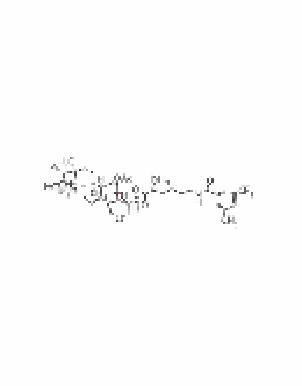 CC(=O)O[C@@H]1C[C@@]23COC[C@@](C)([C@@H]2CC[C@H]2C3=CC[C@@]3(C)[C@H](C(=O)O)[C@@](C)([C@H](C)C(C)C)CC[C@]23C)[C@H]1OC(=O)C(N)CCCCNC(=O)c1cc(C)cc(C(F)(F)F)c1